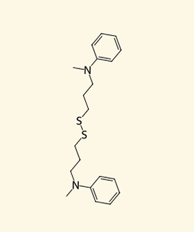 CN(CCCSSCCCN(C)c1ccccc1)c1ccccc1